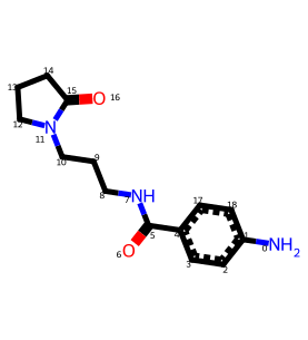 Nc1ccc(C(=O)NCCCN2CCCC2=O)cc1